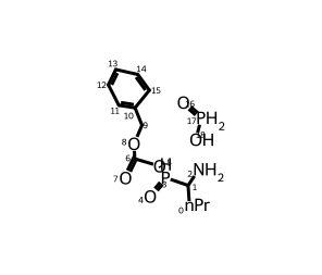 CCCC(N)[PH](=O)OC(=O)OCc1ccccc1.O=[PH2]O